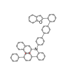 c1ccc(-c2ccc(-c3ccccc3N(c3ccc(-c4ccc(-c5ccccc5-c5cc6ccccc6o5)cc4)cc3)c3ccc4ccccc4c3)cc2)cc1